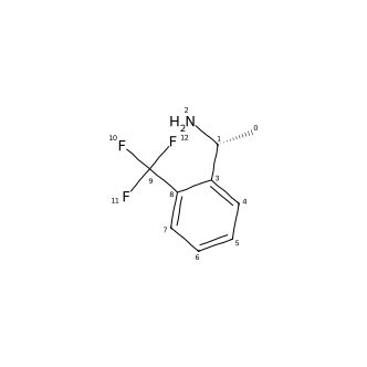 C[C@@H](N)c1ccccc1C(F)(F)F